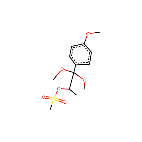 COc1ccc(C(OC)(OC)C(C)OS(C)(=O)=O)cc1